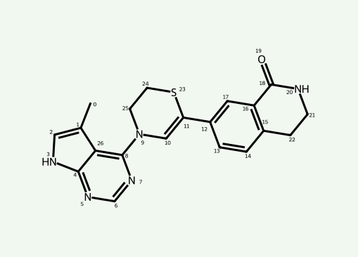 Cc1c[nH]c2ncnc(N3C=C(c4ccc5c(c4)C(=O)NCC5)SCC3)c12